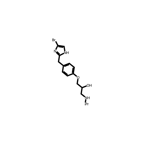 CC(C)NCC(O)COc1ccc(Cc2nc(Br)c[nH]2)cc1